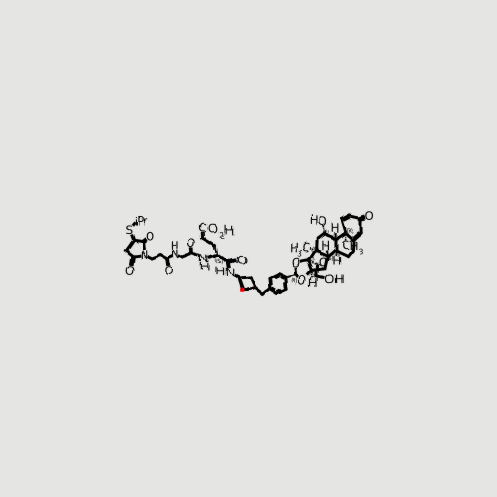 CC(C)SC1CC(=O)N(CCC(=O)NCC(=O)N[C@@H](CCC(=O)O)C(=O)NC23CC(Cc4ccc([C@@H]5O[C@@H]6C[C@H]7[C@@H]8CCC9=CC(=O)C=C[C@]9(C)[C@H]8[C@@H](O)C[C@]7(C)[C@]6(C(=O)CO)O5)cc4)(C2)C3)C1=O